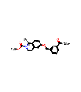 COC(=O)c1cccc(COc2ccc3c(c2)CCN(C(=O)OC(C)(C)C)[C@H]3C(C)C)c1